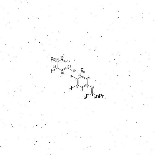 CCCC(F)=Cc1cc(F)c(CCc2ccc(F)c(F)c2)c(F)c1